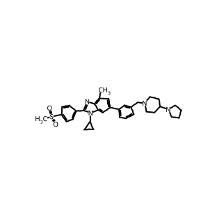 Cc1cc(-c2cccc(CN3CCC(N4CCCC4)CC3)c2)cc2c1nc(-c1ccc(S(C)(=O)=O)cc1)n2C1CC1